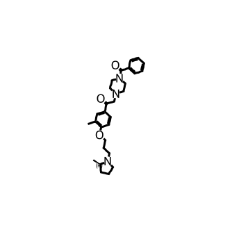 Cc1cc(C(=O)CN2CCN(C(=O)c3ccccc3)CC2)ccc1OCCCN1CCC[C@H]1C